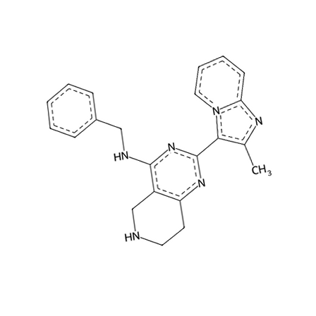 Cc1nc2ccccn2c1-c1nc2c(c(NCc3ccccc3)n1)CNCC2